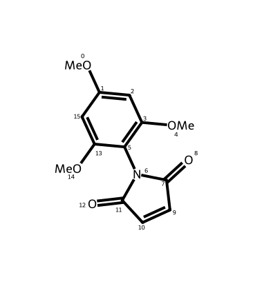 COc1cc(OC)c(N2C(=O)C=CC2=O)c(OC)c1